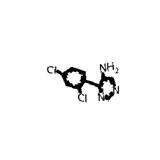 Nc1cn[c]nc1-c1ccc(Cl)cc1Cl